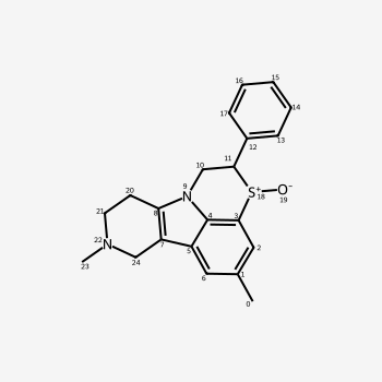 Cc1cc2c3c(c1)c1c(n3CC(c3ccccc3)[S+]2[O-])CCN(C)C1